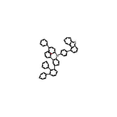 c1ccc(-c2ccc(N(c3ccc(-c4cccc5sc6ccccc6c45)cc3)c3ccc(-c4cccc(-c5ccccc5)c4-c4ccccc4)cc3-c3ccccc3)cc2)cc1